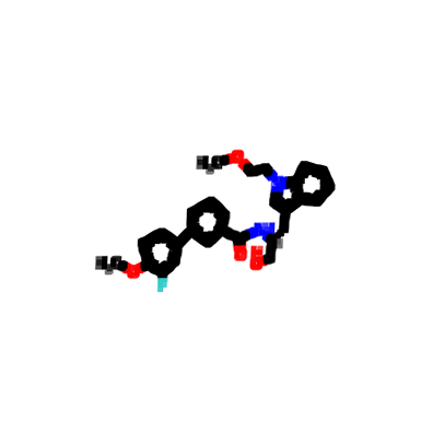 COCCn1cc(C[C@H](CO)NC(=O)c2cccc(-c3ccc(OC)c(F)c3)c2)c2ccccc21